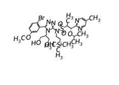 COc1ccc(Br)c(-c2nnc(N(CC[Si](C)(C)C)S(=O)(=O)[C@@H](C)[C@@H](OC(C)C)c3ncc(C)cn3)n2C(CO)CO)c1